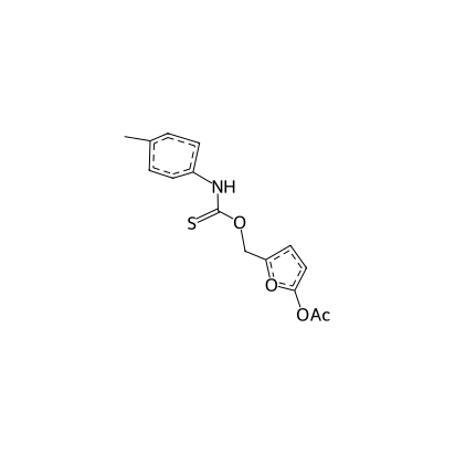 CC(=O)Oc1ccc(COC(=S)Nc2ccc(C)cc2)o1